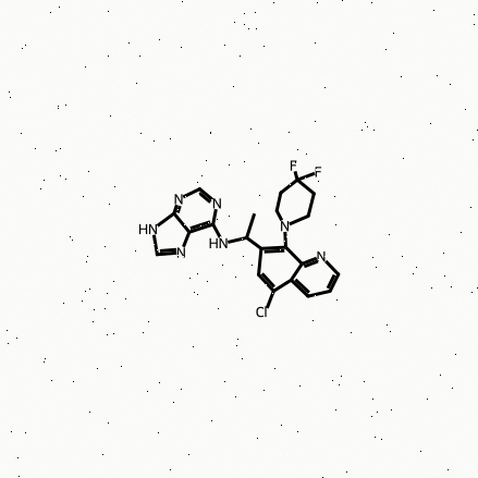 CC(Nc1ncnc2[nH]cnc12)c1cc(Cl)c2cccnc2c1N1CCC(F)(F)CC1